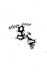 COc1ccc(C2(CNC(=O)c3ccc(Br)o3)CCCC2)cc1OC